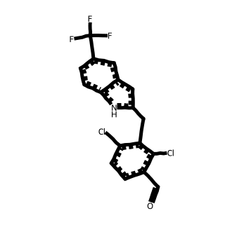 O=Cc1ccc(Cl)c(Cc2cc3cc(C(F)(F)F)ccc3[nH]2)c1Cl